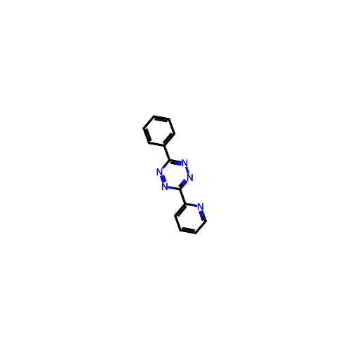 c1ccc(-c2nnc(-c3ccccn3)nn2)cc1